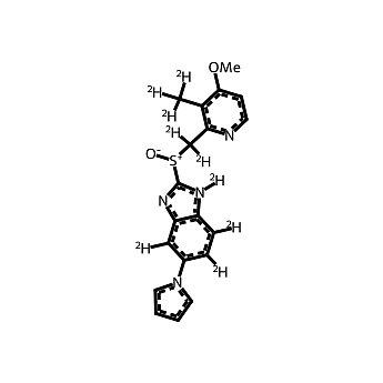 [2H]c1c(-n2cccc2)c([2H])c2nc([S+]([O-])C([2H])([2H])c3nccc(OC)c3C([2H])([2H])[2H])n([2H])c2c1[2H]